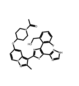 CC(=O)N1CCC(Oc2ccn3nc(C)c(-c4nc(-c5c(F)cccc5CO)c(-c5nc[nH]n5)s4)c3c2)CC1